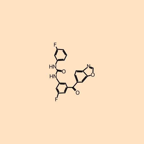 O=C(Nc1cccc(F)c1)Nc1cc(F)cc(C(=O)c2ccc3ncoc3c2)c1